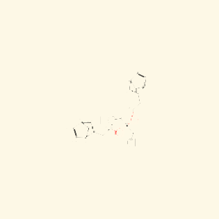 CCC(CC)(OCCC1CC2C=CC1C2)OCCC1CC2C=CC1C2